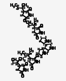 C1CCNC1.C1CCNC1.C1CCNC1.CCC(C)C1CC(=O)NC1=O.CCC(C)C1CC(=O)NC1=O.CCC(C)C1CC(=O)NC1=O.CCC(C)C1CC(=O)NC1=O